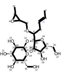 C/C=C/CC(OCC1OC1C)[C@@]1(O[C@H]2O[C@H](CO)[C@@H](O)[C@H](O)[C@H]2O)O[C@H](CO)[C@@H](O)[C@@H]1O